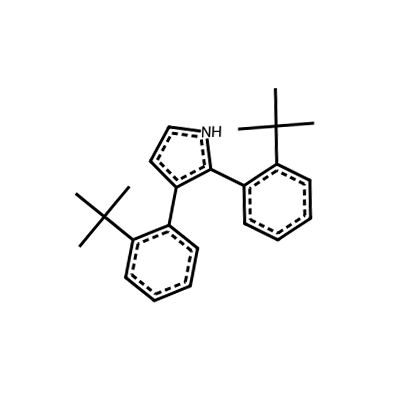 CC(C)(C)c1ccccc1-c1cc[nH]c1-c1ccccc1C(C)(C)C